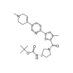 Cc1cc(-c2ccc(C3=CCN(C)CC3)cn2)sc1C(=O)N1CC[C@H](NC(=O)OC(C)(C)C)C1